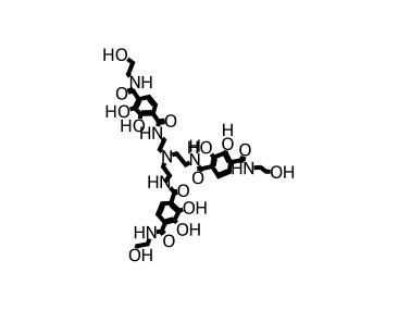 O=C(NCCO)c1ccc(C(=O)NCCN(CCNC(=O)c2ccc(C(=O)NCCO)c(O)c2O)CCNC(=O)c2ccc(C(=O)NCCO)c(O)c2O)c(O)c1O